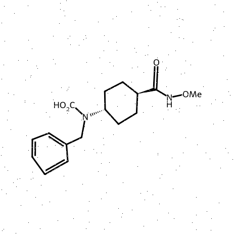 CONC(=O)[C@H]1CC[C@H](N(Cc2ccccc2)C(=O)O)CC1